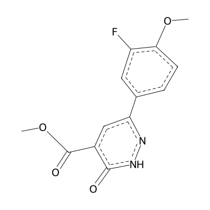 COC(=O)c1cc(-c2ccc(OC)c(F)c2)n[nH]c1=O